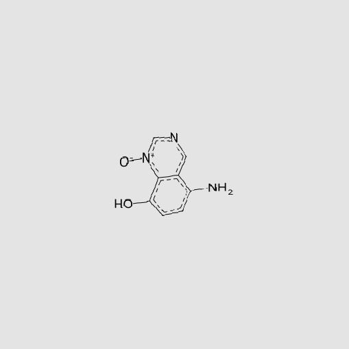 Nc1ccc(O)c2c1cnc[n+]2[O-]